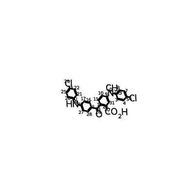 CN(c1ccc(Cl)cc1)c1ccc(C(=O)c2ccc(Nc3ccc(Cl)cc3)cc2)c(C(=O)O)c1